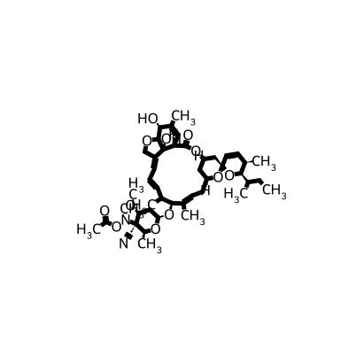 CCC(C)[C@H]1O[C@]2(C=C[C@@H]1C)C[C@@H]1C[C@@H](C/C=C(\C)[C@@H](O[C@H]3C[C@H](OC)[C@](C#N)(N(C)OC(C)=O)[C@H](C)O3)C(C)/C=C/C=C3\COC4[C@H](O)C(C)=C[C@@H](C(=O)O1)[C@]34O)O2